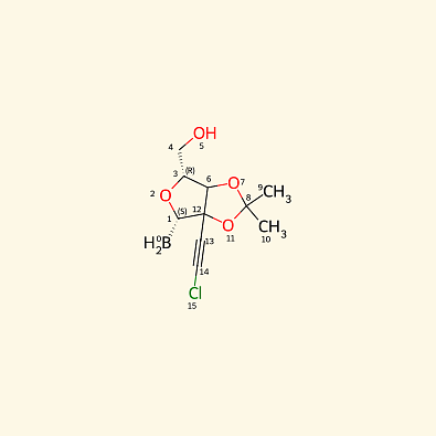 B[C@@H]1O[C@H](CO)C2OC(C)(C)OC21C#CCl